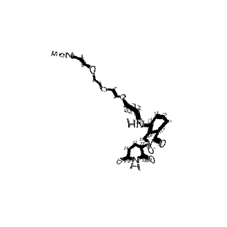 CNCCOCCOCCOCCNc1cccc2c1C[N+]([O-])(C1CCC(=O)NC1=O)C2=O